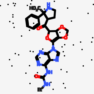 CCNC(=O)Nc1ncnc2c1ncn2C1=C2OCOC2C(C(=O)C2CCNC2(C(=O)O)c2ccccc2)O1